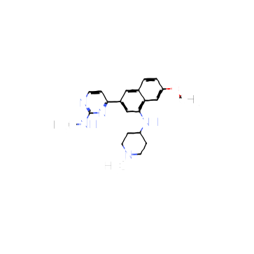 CNc1nccc(-c2cc(NC3CCN(C)CC3)c3cc(OC)ccc3c2)n1